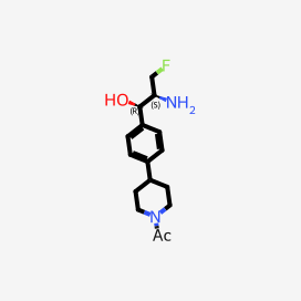 CC(=O)N1CCC(c2ccc([C@@H](O)[C@H](N)CF)cc2)CC1